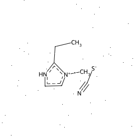 CCc1[nH]cc[n+]1C.N#C[S-]